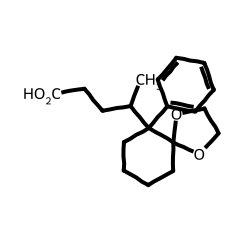 CC(CCC(=O)O)C1(c2ccccc2)CCCCC12OCCO2